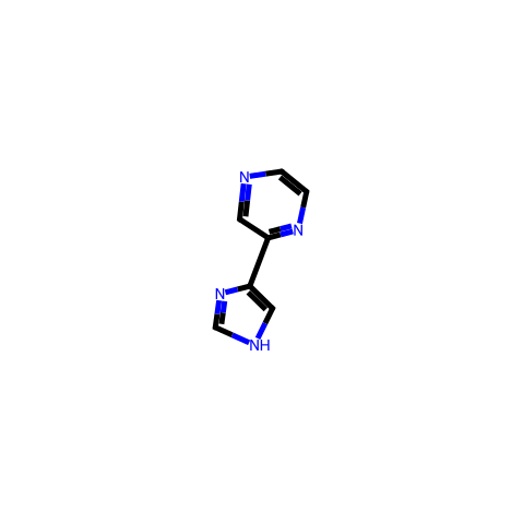 c1cnc(-c2c[nH]cn2)cn1